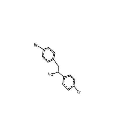 OC(Cc1ccc(Br)cc1)c1ccc(Br)cc1